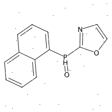 O=[PH](c1ncco1)c1cccc2ccccc12